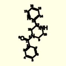 O=C(c1ccccc1)N1CCNC(c2ccccn2)C1